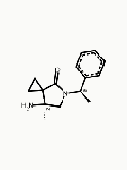 C[C@H](c1ccccc1)N1C[C@@](C)(N)C2(CC2)C1=O